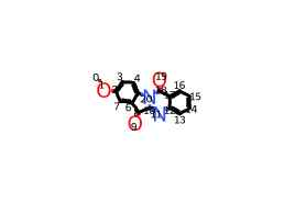 COc1ccc2c(c1)C(=O)c1nc3ccccc3c(=O)n1-2